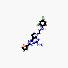 Nc1nc2c(ccn2CCNc2ccc(F)cc2F)c2nc(-c3ccco3)nn12